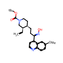 C=C[C@H]1CN(C(=O)OC(C)(C)C)CC[C@H]1CCC(=NO)c1ccnc2ccc(OC)cc12